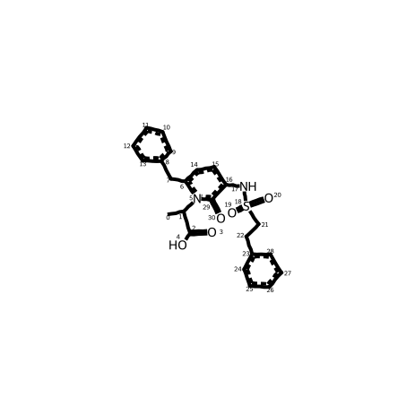 CC(C(=O)O)n1c(Cc2ccccc2)ccc(NS(=O)(=O)CCc2ccccc2)c1=O